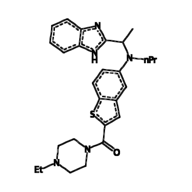 CCCN(c1ccc2sc(C(=O)N3CCN(CC)CC3)cc2c1)C(C)c1nc2ccccc2[nH]1